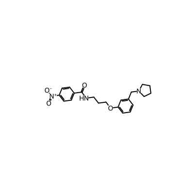 O=C(NCCCOc1cccc(CN2CCCC2)c1)c1ccc([N+](=O)[O-])cc1